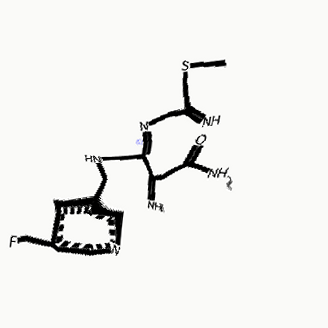 CSC(=N)/N=C(/Nc1cncc(F)c1)C(=N)C(N)=O